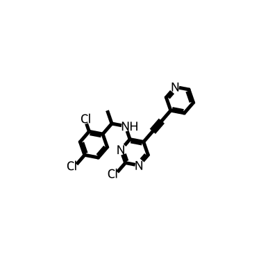 CC(Nc1nc(Cl)ncc1C#Cc1cccnc1)c1ccc(Cl)cc1Cl